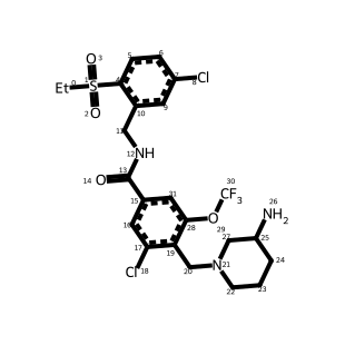 CCS(=O)(=O)c1ccc(Cl)cc1CNC(=O)c1cc(Cl)c(CN2CCCC(N)C2)c(OC(F)(F)F)c1